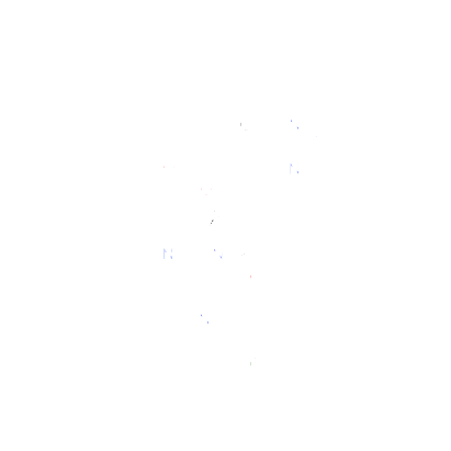 Cc1cc2cc(C(=O)N(Cc3ccc(Cl)cn3)[C@H](C)c3ncccc3C(=O)OCc3ccccc3)ccc2nc1N